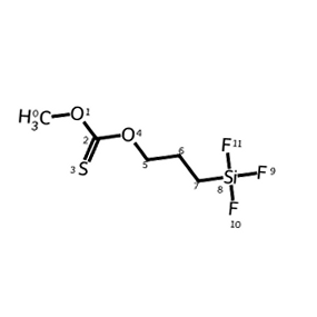 COC(=S)OCCC[Si](F)(F)F